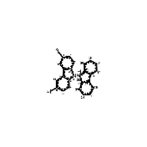 Ic1ccc2[nH]c3ccc(I)cc3c2c1.c1ccc2c(c1)[nH]c1ccccc12